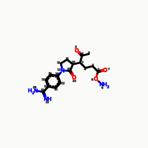 CC(=O)C(CCC(=O)ON)C1CCN(c2ccc(C(=N)N)cc2)C1=O